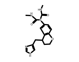 CNC(=O)N(C(=O)NC)c1ccc2c(c1)C(Cc1c[nH]cn1)CCO2